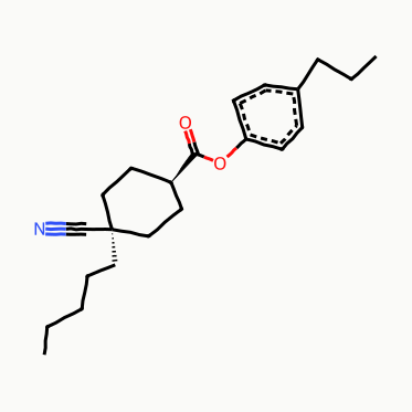 CCCCC[C@]1(C#N)CC[C@@H](C(=O)Oc2ccc(CCC)cc2)CC1